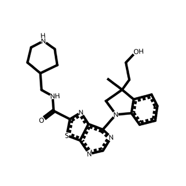 CC1(CCO)CN(c2ncnc3sc(C(=O)NCC4CCNCC4)nc23)c2ccccc21